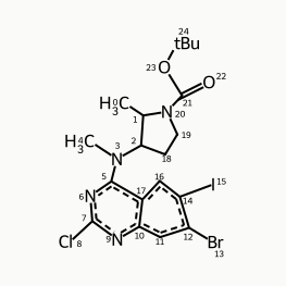 CC1C(N(C)c2nc(Cl)nc3cc(Br)c(I)cc23)CCN1C(=O)OC(C)(C)C